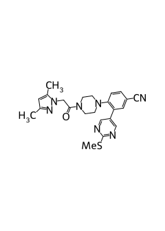 CSc1ncc(-c2cc(C#N)ccc2N2CCN(C(=O)Cn3nc(C)cc3C)CC2)cn1